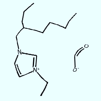 CCCCC(CC)Cn1cc[n+](CC)c1.O=C[O-]